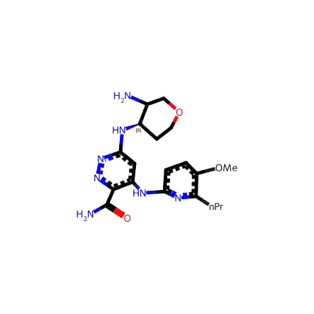 CCCc1nc(Nc2cc(N[C@@H]3CCOCC3N)nnc2C(N)=O)ccc1OC